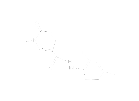 Cc1ccc(NNC(=O)c2ccc(=O)n(C)c2)c(F)c1